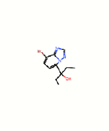 CCC(O)(CC)c1ccc(Br)c2ncnn12